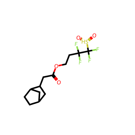 O=C(CC1CC2CCC1C2)OCCC(F)(F)C(F)(F)[SH](=O)=O